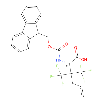 C=CCC([C@H](NC(=O)OCC1c2ccccc2-c2ccccc21)C(=O)O)(C(F)(F)F)C(F)(F)F